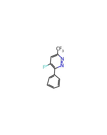 Fc1cc(C(F)(F)F)nnc1-c1ccccc1